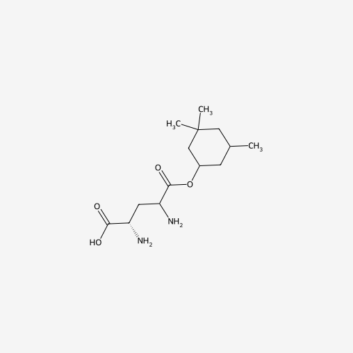 CC1CC(OC(=O)C(N)C[C@H](N)C(=O)O)CC(C)(C)C1